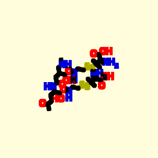 CNCC(CC(=O)NC(CCC(C)=O)C(O)ONCCSSC(C)(C)[C@H](N)C(=O)O)C(O)ONCCSSC(C)(C)[C@H](N)C(=O)O